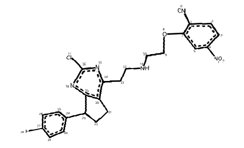 [C-]#[N+]c1ccc([N+](=O)[O-])cc1OCCNCCc1nc(Cl)nc2c1CCC2c1ccc(F)cc1